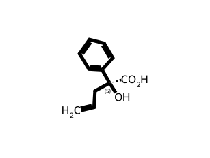 C=CC[C@@](O)(C(=O)O)c1ccccc1